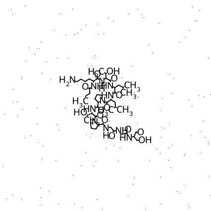 CCCC(=O)NC(CCCCN)C(=O)NC(C(=O)NC(CC(C)C)C(=O)NC(CC(C)C)C(=O)N1CCCC1C(=O)NC(C(=O)N1CCCC1C(=O)NCC(=O)NCC(=O)NC(C=O)CO)C(C)O)C(C)O